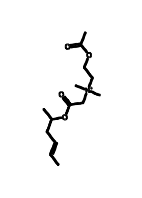 CC=CCC(C)OC(=O)C[N+](C)(C)CCOC(C)=O